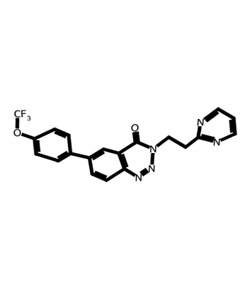 O=c1c2cc(-c3ccc(OC(F)(F)F)cc3)ccc2nnn1CCc1ncccn1